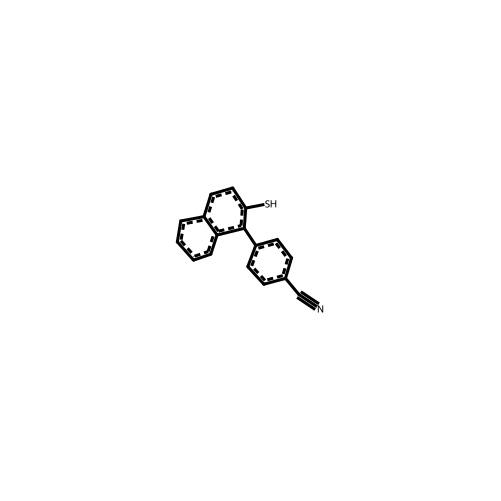 N#Cc1ccc(-c2c(S)ccc3ccccc23)cc1